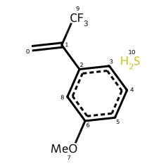 C=C(c1cccc(OC)c1)C(F)(F)F.S